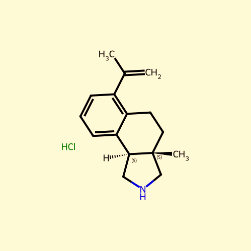 C=C(C)c1cccc2c1CC[C@]1(C)CNC[C@@H]21.Cl